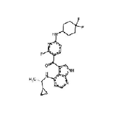 C[C@H](Nc1ncnc2[nH]cc(C(=O)c3ccc(NC4CCC(F)(F)CC4)nc3F)c12)C1CC1